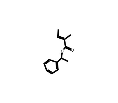 CC=C(C)C(=O)OC(C)c1ccccc1